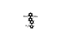 COc1cccc(OC)c1-c1ccc2c(c1)CCC(N1CCCC1C)C2